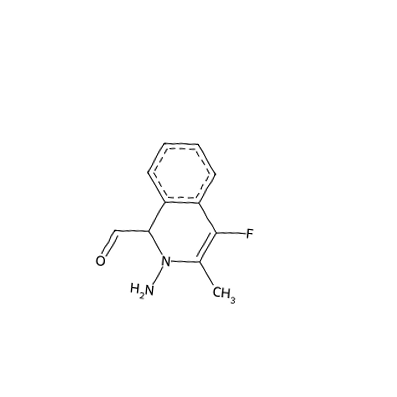 CC1=C(F)c2ccccc2C(C=O)N1N